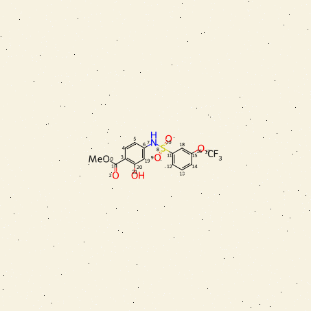 COC(=O)c1ccc(NS(=O)(=O)c2cccc(OC(F)(F)F)c2)cc1O